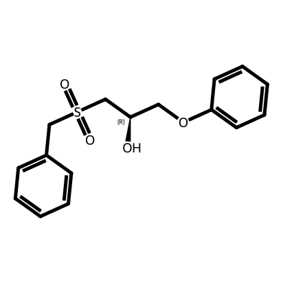 O=S(=O)(Cc1ccccc1)C[C@H](O)COc1ccccc1